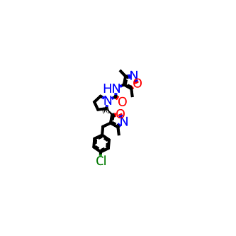 Cc1noc([C@H]2CCCN2C(=O)Nc2c(C)noc2C)c1Cc1ccc(Cl)cc1